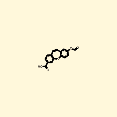 O=C(O)c1ccc2c(c1)Sc1ccc(OC=S)cc1C=C2